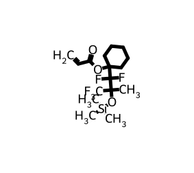 C=CC(=O)OC1(C(F)(F)C(C)(O[Si](C)(C)C)C(F)(F)F)CCCCC1